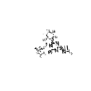 C1=CC2=CC=C1C2.CCn1c(-c2ccccc2C)nc(NN)nc1=O